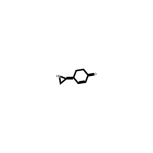 O=C1C=CC(=C2CN2)CC1